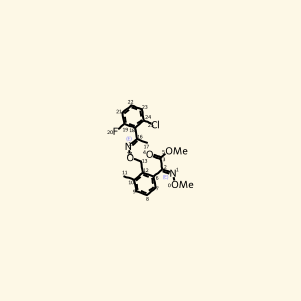 CO/N=C(/C(=O)OC)c1cccc(C)c1CO/N=C(\C)c1c(F)cccc1Cl